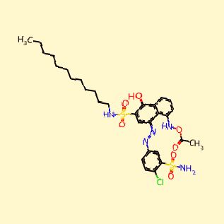 CCCCCCCCCCCCNS(=O)(=O)c1cc(N=Nc2ccc(Cl)c(S(N)(=O)=O)c2)c2c(NOC(C)=O)cccc2c1O